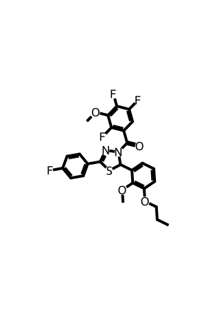 CCCOc1cccc(C2SC(c3ccc(F)cc3)=NN2C(=O)c2cc(F)c(F)c(OC)c2F)c1OC